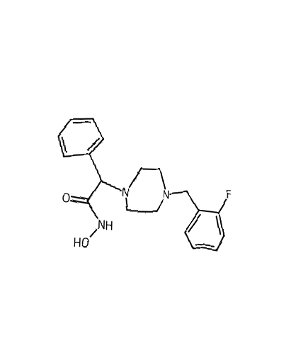 O=C(NO)C(c1ccccc1)N1CCN(Cc2ccccc2F)CC1